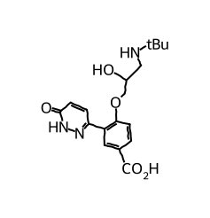 CC(C)(C)NCC(O)COc1ccc(C(=O)O)cc1-c1ccc(=O)[nH]n1